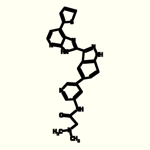 CN(C)CC(=O)Nc1cncc(-c2ccc3[nH]nc(-c4nc5c(-c6cccs6)ccnc5[nH]4)c3c2)c1